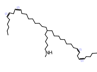 CCCCC/C=C\C/C=C\CCCCCCCCC(CCCCCCCC/C=C\C/C=C\CCCCC)CCCCCNC